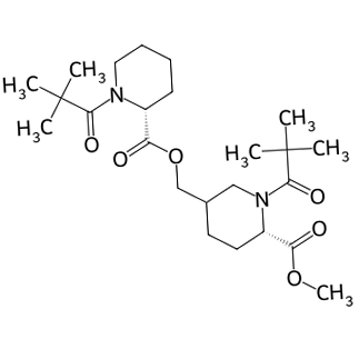 COC(=O)[C@@H]1CCC(COC(=O)[C@H]2CCCCN2C(=O)C(C)(C)C)CN1C(=O)C(C)(C)C